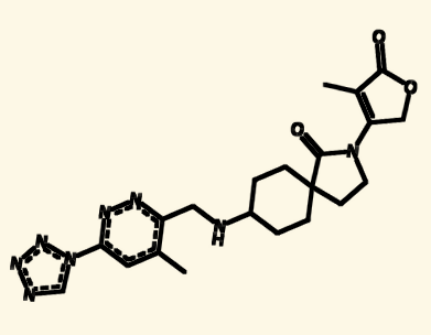 CC1=C(N2CCC3(CCC(NCc4nnc(-n5cnnn5)cc4C)CC3)C2=O)COC1=O